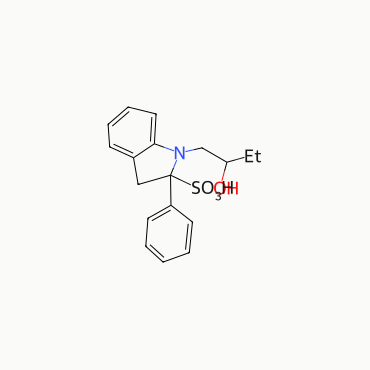 CCC(O)CN1c2ccccc2CC1(c1ccccc1)S(=O)(=O)O